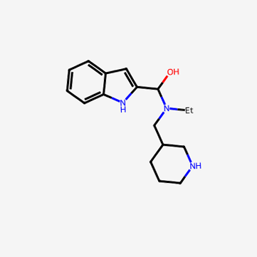 CCN(CC1CCCNC1)C(O)c1cc2ccccc2[nH]1